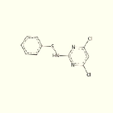 Clc1cc(Cl)nc(NSc2ccccc2)n1